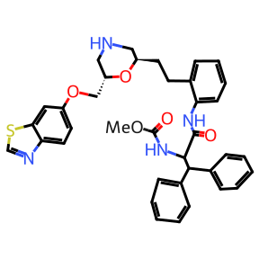 COC(=O)NC(C(=O)Nc1ccccc1CC[C@@H]1CNC[C@@H](COc2ccc3ncsc3c2)O1)C(c1ccccc1)c1ccccc1